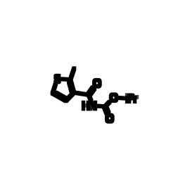 Cc1sccc1C(=O)NC(=O)OC(C)C